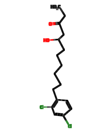 O=C(O)CC(=O)CC(O)CCCCCCc1ccc(Cl)cc1Cl